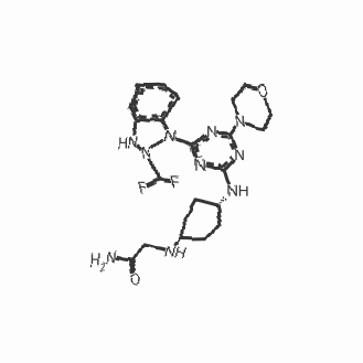 NC(=O)CN[C@H]1CC[C@H](Nc2nc(N3CCOCC3)nc(N3c4ccccc4NN3C(F)F)n2)CC1